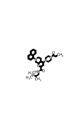 C=CC(=O)N1CCN(c2cc(C(=O)NC[C@@H](C)N(C)C)nc3c2CCN(c2cccc4ccccc24)C3)CC1